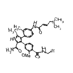 COc1cc(-c2c(C(N)=O)[nH]c(C)c2-c2ccc(NC(=O)C=CCN(C)C)cc2C)ccc1C(=O)NCC(C)C